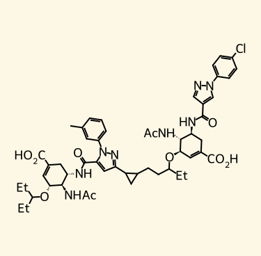 CCC(CCC1CC1c1cc(C(=O)N[C@H]2CC(C(=O)O)=C[C@@H](OC(CC)CC)[C@@H]2NC(C)=O)n(-c2cccc(C)c2)n1)O[C@@H]1C=C(C(=O)O)C[C@H](NC(=O)c2cnn(-c3ccc(Cl)cc3)c2)[C@H]1NC(C)=O